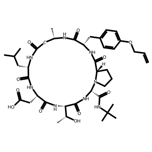 C=CCOc1ccc(C[C@@H]2NC(=O)[C@@H]3CCCN3[C@H](C(=O)NC(C)(C)C)NC(=O)[C@H]([C@@H](C)O)NC(=O)[C@H](CC(=O)O)NC(=O)[C@H](CC(C)C)NC(=O)C[C@H](C)NC2=O)cc1